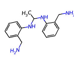 CC(Nc1ccccc1CN)Nc1ccccc1CN